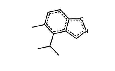 Cc1ccc2oncc2c1C(C)C